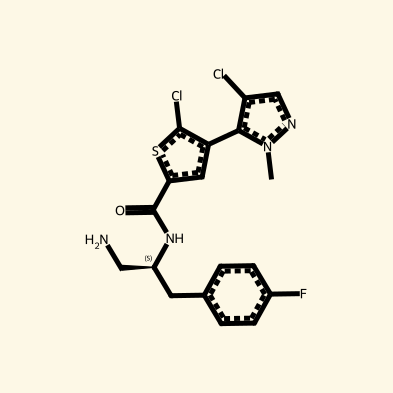 Cn1ncc(Cl)c1-c1cc(C(=O)N[C@H](CN)Cc2ccc(F)cc2)sc1Cl